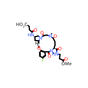 COC(=O)CCNC(=O)[C@@H]1CCC(=O)N(C)CC(=O)N2C[C@@H](NC(=O)CCC(=O)O)C[C@H]2COc2ccc(F)cc2C(=O)N1C